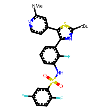 CNc1cc(-c2sc(C(C)(C)C)nc2-c2cccc(NS(=O)(=O)c3cc(F)ccc3F)c2F)ccn1